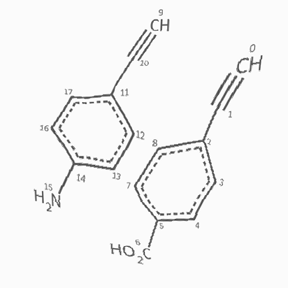 C#Cc1ccc(C(=O)O)cc1.C#Cc1ccc(N)cc1